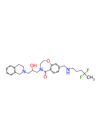 CC(F)(F)CCCNCc1ccc2c(c1)OCCN(CC(O)CN1CCc3ccccc3C1)C2=O